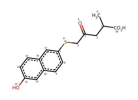 CC(CC(=O)CSc1ccc2cc(O)ccc2c1)C(=O)O